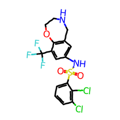 O=S(=O)(Nc1cc2c(c(C(F)(F)F)c1)OCCNC2)c1cccc(Cl)c1Cl